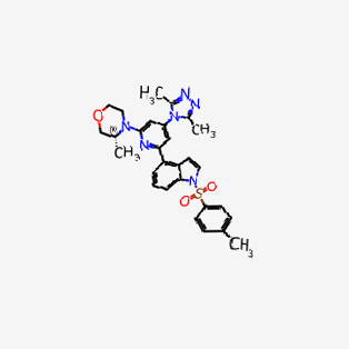 Cc1ccc(S(=O)(=O)n2ccc3c(-c4cc(-n5c(C)nnc5C)cc(N5CCOC[C@H]5C)n4)cccc32)cc1